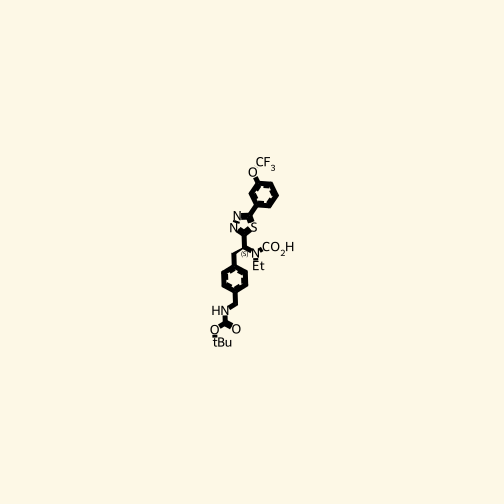 CCN(C(=O)O)[C@@H](Cc1ccc(CNC(=O)OC(C)(C)C)cc1)c1nnc(-c2cccc(OC(F)(F)F)c2)s1